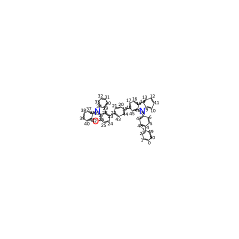 c1ccc(-c2ccc(-n3c4ccccc4c4ccc(-c5ccc(-c6ccc7c8c6c6ccccc6n8-c6ccccc6O7)cc5)cc43)cc2)cc1